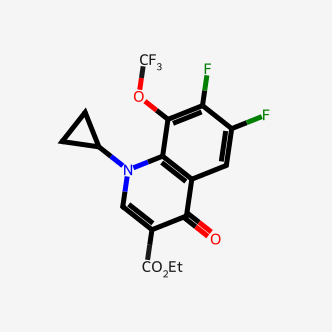 CCOC(=O)c1cn(C2CC2)c2c(OC(F)(F)F)c(F)c(F)cc2c1=O